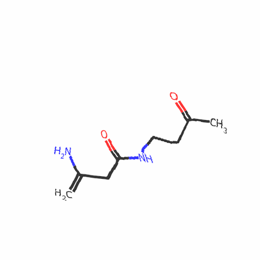 C=C(N)CC(=O)NCCC(C)=O